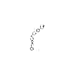 Cc1ccc(F)c(C(=O)NC2CC3(CCN(CC4CCN(c5ccc(C6CCC(=O)NC6=O)cc5F)CC4)CC3)C2)c1